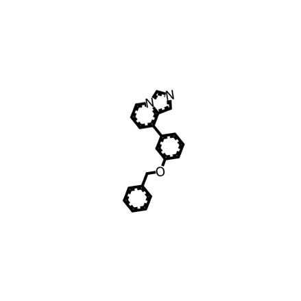 c1ccc(COc2cccc(-c3cccn4cncc34)c2)cc1